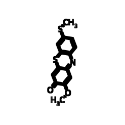 COc1cc2nc3ccc(SC)cc3sc-2cc1=O